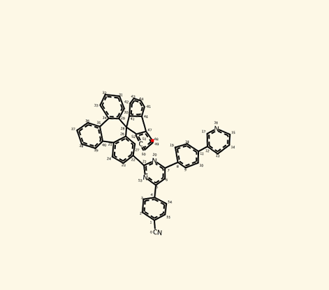 N#Cc1ccc(-c2cc(-c3ccc(-c4cccnc4)cc3)nc(-c3ccc4c(c3)C3(c5ccccc5-c5ccccc5-4)c4ccccc4-c4ccccc43)n2)cc1